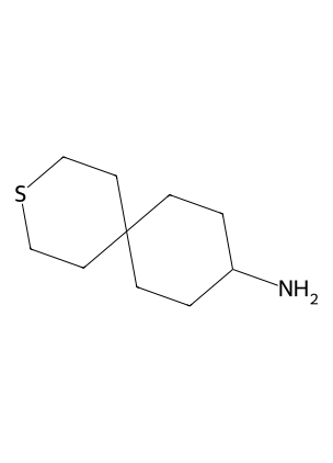 NC1CCC2(CCSCC2)CC1